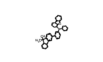 CC1(C)c2ccccc2-c2cc(-c3cccc(N(c4ccccc4)c4cccc5c4sc4ccccc45)c3)ccc21